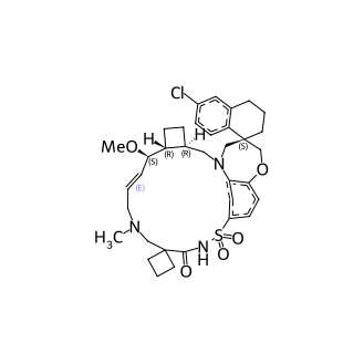 CO[C@@H]1/C=C/CN(C)CC2(CCC2)C(=O)NS(=O)(=O)c2ccc3c(c2)N(C[C@@H]2CC[C@H]21)C[C@@]1(CCCc2cc(Cl)ccc21)CO3